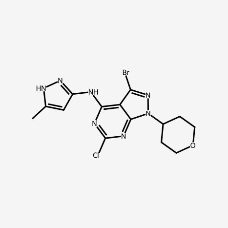 Cc1cc(Nc2nc(Cl)nc3c2c(Br)nn3C2CCOCC2)n[nH]1